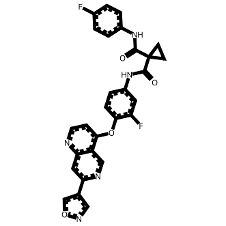 O=C(Nc1ccc(F)cc1)C1(C(=O)Nc2ccc(Oc3ccnc4cc(-c5cnoc5)ncc34)c(F)c2)CC1